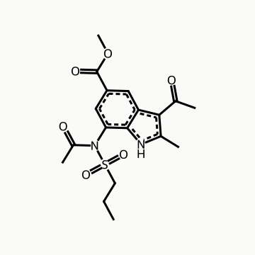 CCCS(=O)(=O)N(C(C)=O)c1cc(C(=O)OC)cc2c(C(C)=O)c(C)[nH]c12